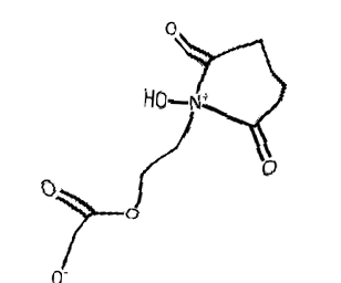 O=C([O-])OCC[N+]1(O)C(=O)CCC1=O